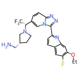 CCOc1cc2nc(-c3nnc4ccc([C@H](N5CC[C@H](CN)C5)C(F)(F)F)cn34)ccc2cc1F